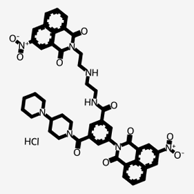 Cl.O=C(NCCNCCN1C(=O)c2cccc3cc([N+](=O)[O-])cc(c23)C1=O)c1cc(C(=O)N2CCC(N3CCCCC3)CC2)cc(N2C(=O)c3cccc4cc([N+](=O)[O-])cc(c34)C2=O)c1